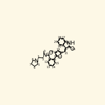 CN(CCN1CCCC1)C(=O)c1ccccc1-c1ccc(/C=C2/C(=O)Nc3ccccc32)o1